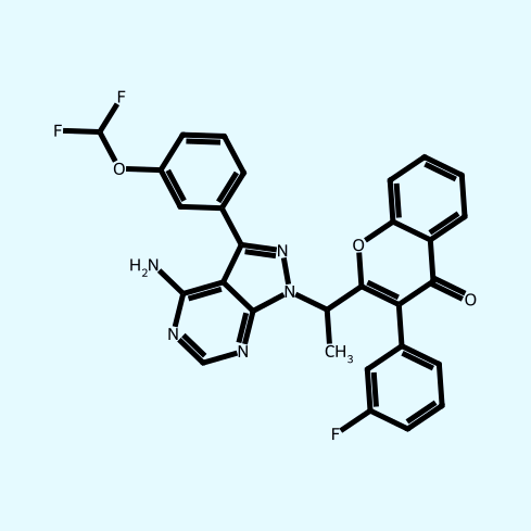 CC(c1oc2ccccc2c(=O)c1-c1cccc(F)c1)n1nc(-c2cccc(OC(F)F)c2)c2c(N)ncnc21